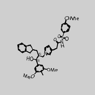 COc1ccc(S(=O)(=O)NC(=O)Cc2ccn(C[C@H](CC3Cc4ccccc4C3)[C@H](O)c3cc(OC)c(C)c(OC)c3)c2)cc1